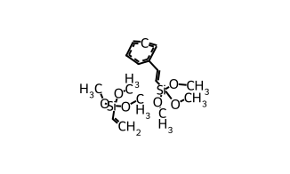 C=C[Si](OC)(OC)OC.CO[Si](C=Cc1ccccc1)(OC)OC